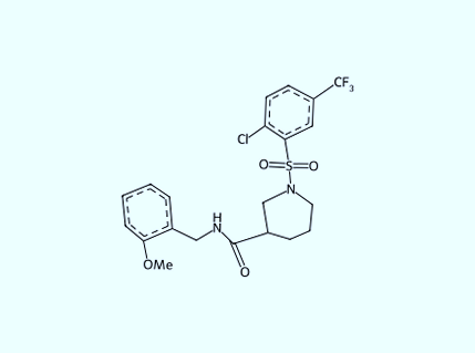 COc1ccccc1CNC(=O)C1CCCN(S(=O)(=O)c2cc(C(F)(F)F)ccc2Cl)C1